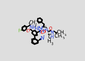 CC[C@H](NC[C@H](Cc1ccccc1)NC(=O)c1cc(C(=O)NC(C)c2ccc(F)cc2)cc(-c2ccccc2C#N)c1)C(=O)NCC(C)C